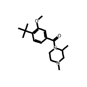 COc1cc(C(=O)N2CCN(C)CC2C)ccc1C(C)(C)C